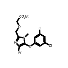 CCOC(=O)COCc1nc(C(C)C)c(Sc2cc(Cl)cc(Cl)c2)n1C